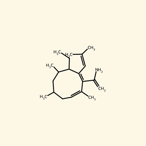 C=C(N)C1=C(\C=C(C)C)C(CC)C(C)CC(C)C/C=C\1C